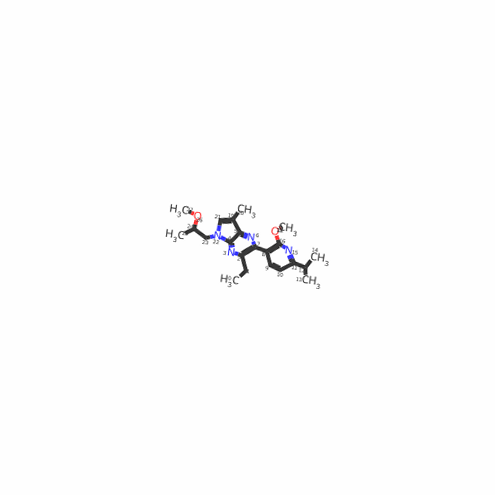 CCc1nc2c(nc1-c1ccc(C(C)C)nc1OC)c(C)cn2CC(C)OC